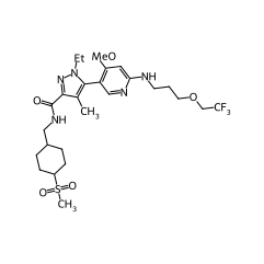 CCn1nc(C(=O)NCC2CCC(S(C)(=O)=O)CC2)c(C)c1-c1cnc(NCCCOCC(F)(F)F)cc1OC